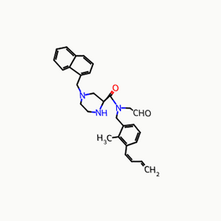 C=C/C=C\c1cccc(CN(CC=O)C(=O)C2CN(Cc3cccc4ccccc34)CCN2)c1C